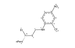 CCCCC[C@H](CC)SCNc1ccc([N+](=O)[O-])cc1C(F)(F)F